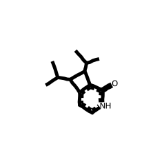 CC(C)C1c2cc[nH]c(=O)c2C1C(C)C